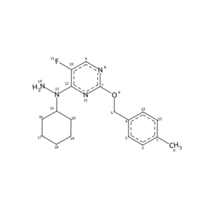 Cc1ccc(COc2ncc(F)c(N(N)C3CCCCC3)n2)cc1